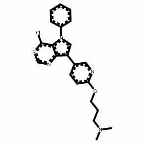 CN(C)CCCOc1ccc(-c2cn(-c3ccccc3)c3c(Cl)ncnc23)cn1